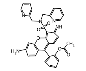 CC(=O)Oc1ccccc1-c1c2ccc(=N)c(S(=O)(=O)N(Cc3ccccn3)Cc3ccccn3)c-2oc2cc(N)ccc12